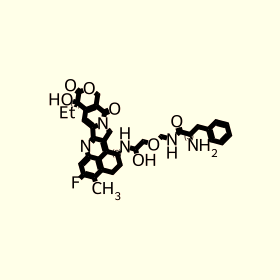 CC[C@@]1(O)C(=O)OCc2c1cc1n(c2=O)Cc2c-1nc1cc(F)c(C)c3c1c2[C@@H](NC(O)COCNC(=O)[C@@H](N)Cc1ccccc1)CC3